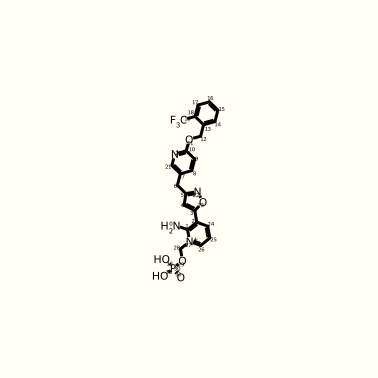 Nc1c(-c2cc(Cc3ccc(OCc4ccccc4C(F)(F)F)nc3)no2)ccc[n+]1COP(=O)(O)O